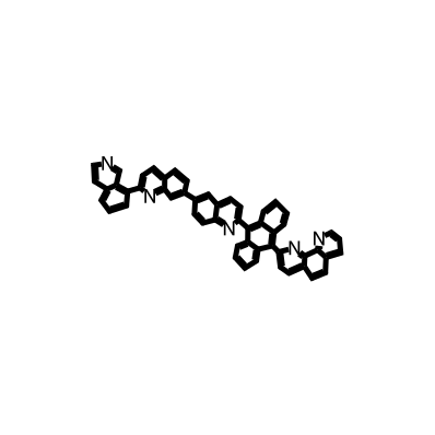 c1cc(-c2ccc3ccc(-c4ccc5nc(-c6c7ccccc7c(-c7ccc8ccc9cccnc9c8n7)c7ccccc67)ccc5c4)cc3n2)c2cnccc2c1